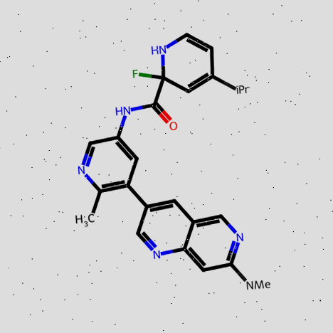 CNc1cc2ncc(-c3cc(NC(=O)C4(F)C=C(C(C)C)C=CN4)cnc3C)cc2cn1